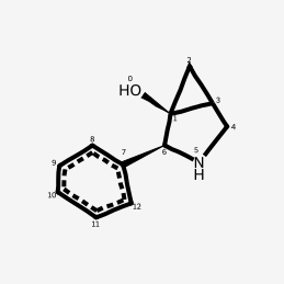 O[C@@]12CC1CN[C@H]2c1ccccc1